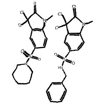 CN1C(=O)C(Cl)(Cl)c2cc(S(=O)(=O)N3CCCCC3)ccc21.CN1C(=O)C(Cl)(Cl)c2cc(S(=O)(=O)NCc3ccccc3)ccc21